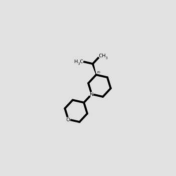 CC(C)[C@H]1CCCN(C2CCOCC2)C1